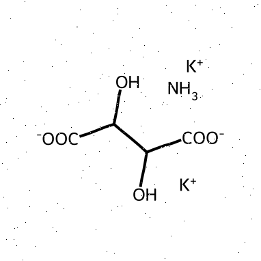 N.O=C([O-])C(O)C(O)C(=O)[O-].[K+].[K+]